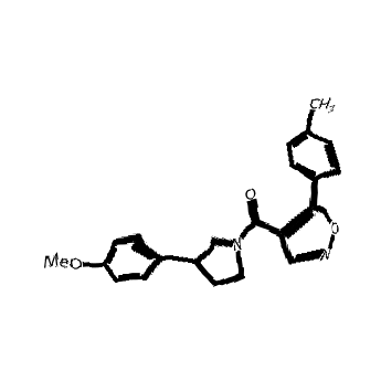 COc1ccc(C2CCN(C(=O)c3cnoc3-c3ccc(C)cc3)C2)cc1